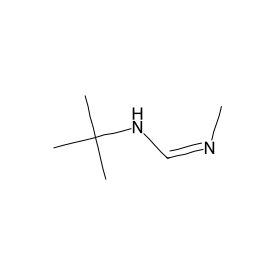 C/N=C\NC(C)(C)C